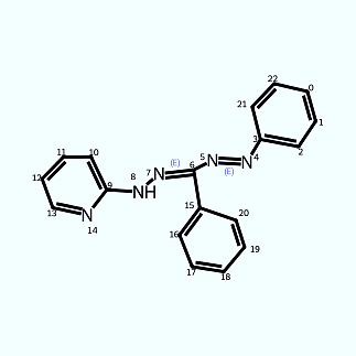 c1ccc(/N=N/C(=N/Nc2ccccn2)c2ccccc2)cc1